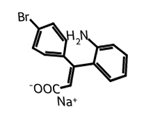 Nc1ccccc1C(=CC(=O)[O-])c1ccc(Br)cc1.[Na+]